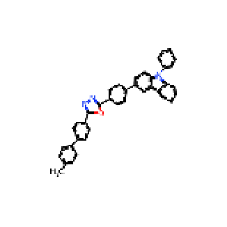 Cc1ccc(-c2ccc(-c3nnc(-c4ccc(-c5ccc6c(c5)c5ccccc5n6-c5ccccc5)cc4)o3)cc2)cc1